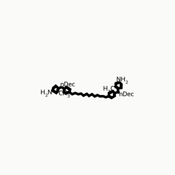 CCCCCCCCCCC(c1ccc(CCCCCCCCCCCCCc2ccc(C(CCCCCCCCCC)c3ccc(N)cc3C)cc2)cc1)c1ccc(N)cc1C